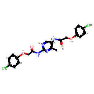 Cc1nc(NC(=O)COc2ccc(Cl)cc2)ncc1NC(=O)COc1ccc(Cl)cc1